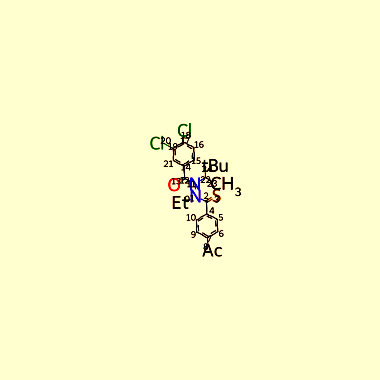 CCN(C(=S)c1ccc(C(C)=O)cc1)N(C(=O)c1ccc(Cl)c(Cl)c1)C(C)C(C)(C)C